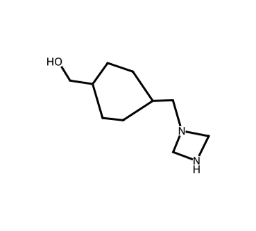 OCC1CCC(CN2CNC2)CC1